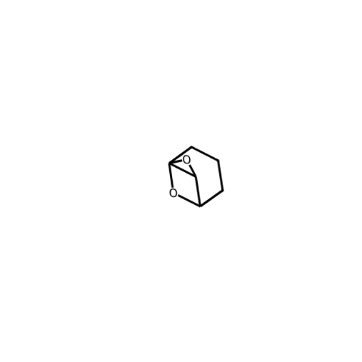 C1CC2OC3(C1)OC23